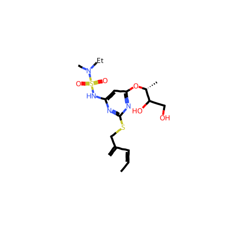 C=C(/C=C\C)CSc1nc(NS(=O)(=O)N(C)CC)cc(O[C@H](C)C(O)CO)n1